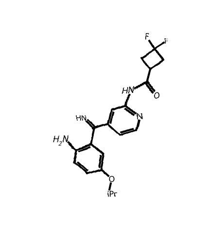 CC(C)Oc1ccc(N)c(C(=N)c2ccnc(NC(=O)C3CC(F)(F)C3)c2)c1